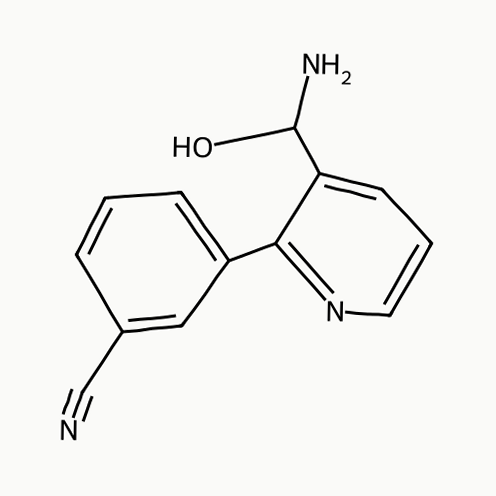 N#Cc1cccc(-c2ncccc2C(N)O)c1